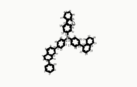 c1ccc(-c2ccc3ccc(-c4ccc(N(c5ccc(-c6cccc7ccccc67)cc5)c5ccc6c(c5)oc5ccccc56)cc4)cc3c2)cc1